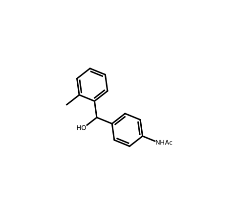 CC(=O)Nc1ccc(C(O)c2ccccc2C)cc1